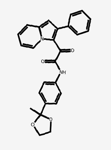 CC1(c2ccc(NC(=O)C(=O)c3c(-c4ccccc4)cc4ccccn34)cc2)OCCO1